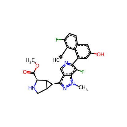 C#Cc1c(F)ccc2cc(O)cc(-c3ncc4c([C@H]5C6CN[C@@H](C(=O)OC)C65)nn(C)c4c3F)c12